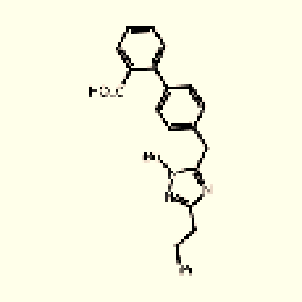 CCC(C)n1nc(CCC(C)C)nc1Cc1ccc(-c2ccccc2C(=O)O)cc1